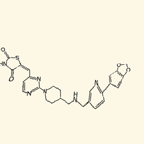 O=C1NC(=O)/C(=C\c2ccnc(N3CCC(CNCc4ccc(-c5ccc6c(c5)OCO6)nc4)CC3)n2)S1